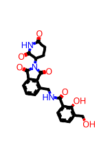 O=C1CCC(N2C(=O)c3cccc(CNC(=O)c4cccc(CO)c4O)c3C2=O)C(=O)N1